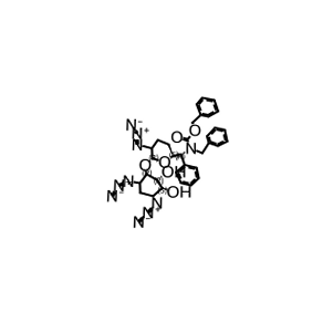 [N-]=[N+]=NC1CC[C@@H]([C@@H](c2ccccc2)N(Cc2ccccc2)C(=O)OCc2ccccc2)O[C@@H]1O[C@@H]1C(N=[N+]=[N-])CC(N=[N+]=[N-])[C@H](O)[C@H]1O